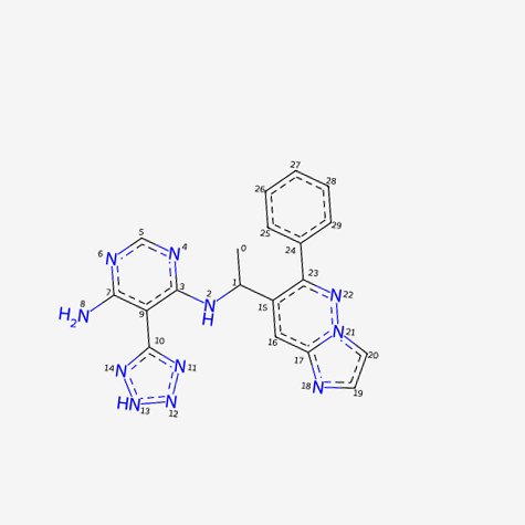 CC(Nc1ncnc(N)c1-c1nn[nH]n1)c1cc2nccn2nc1-c1ccccc1